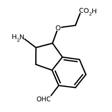 NC1Cc2c(C=O)cccc2C1OCC(=O)O